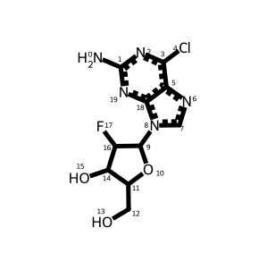 Nc1nc(Cl)c2ncn(C3OC(CO)C(O)C3F)c2n1